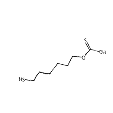 OC(=S)OCCCCCCS